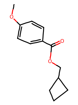 COc1ccc(C(=O)OCC2CCC2)cc1